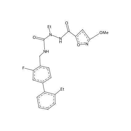 CCc1ccccc1-c1ccc(CNC(=O)N(CC)NC(=O)c2cc(OC)no2)c(F)c1